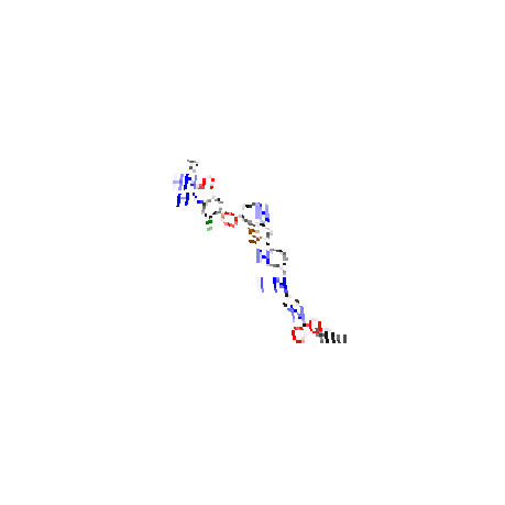 CC(C)(C)OC(=O)N1CC(NCc2ccc(-c3cc4nccc(Oc5ccc(NC(=O)NC6CC6)cc5F)c4s3)nc2)C1